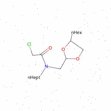 CCCCCCCN(CC1OCC(CCCCCC)O1)C(=O)CCl